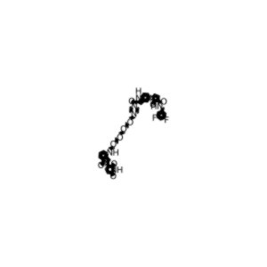 O=C1CCC(N2Cc3c(NCCOCCOCCOCCOCCN4CCN(C(=O)c5cc6cc(N7CCC(C(=O)NCc8cc(F)cc(F)c8)C7=O)ccc6[nH]5)CC4)cccc3C2=O)C(=O)N1